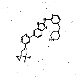 FC(F)(F)C1(COc2cc(-c3ccc4nc(Nc5cc(CN6CCNCC6)ccn5)[nH]c4c3)ncn2)CC1